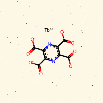 O=C([O-])c1nc(C(=O)[O-])c(C(=O)[O-])nc1C(=O)[O-].[Tb+4]